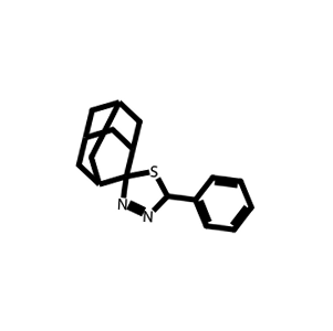 c1ccc(C2N=NC3(S2)C2CC4CC(C2)CC3C4)cc1